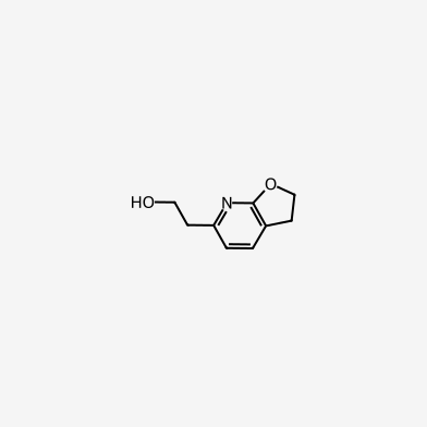 OCCc1ccc2c(n1)OCC2